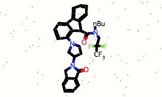 CCCCN(CC(F)(F)C(F)(F)F)C(=O)C1c2ccccc2-c2cccc(N3CCC(N4Cc5ccccc5C4=O)C3)c21